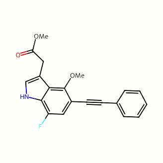 COC(=O)Cc1c[nH]c2c(F)cc(C#Cc3ccccc3)c(OC)c12